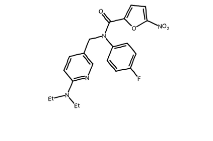 CCN(CC)c1ccc(CN(C(=O)c2ccc([N+](=O)[O-])o2)c2ccc(F)cc2)cn1